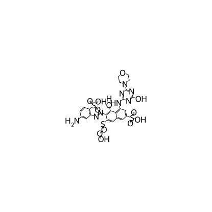 Nc1ccc(S(=O)(=O)O)c(/N=N/c2c(SOOO)cc3cc(S(=O)(=O)O)cc(Nc4nc(O)nc(N5CCOCC5)n4)c3c2O)c1